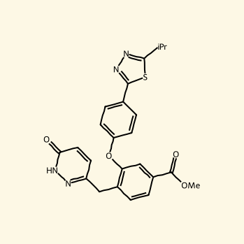 COC(=O)c1ccc(Cc2ccc(=O)[nH]n2)c(Oc2ccc(-c3nnc(C(C)C)s3)cc2)c1